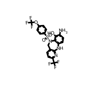 Nc1ccc2c(c1O)N(S(=O)(=O)c1ccc(OC(F)(F)F)cc1)Cc1ccc(C(F)(F)F)nc1N2